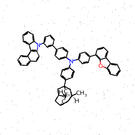 C[C@H]1CC2CC3CC(c4ccc(N(c5ccc(-c6cccc(-n7c8ccccc8c8c9ccccc9ccc87)c6)cc5)c5ccc(-c6cccc7c6oc6ccccc67)cc5)cc4)(C1)C[C@@H]3C2